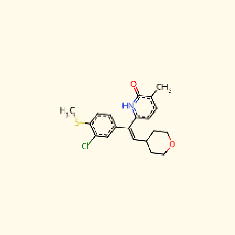 CSc1ccc(C(=CC2CCOCC2)c2ccc(C)c(=O)[nH]2)cc1Cl